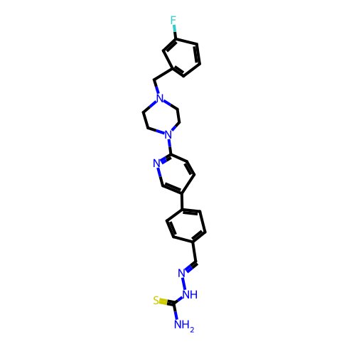 NC(=S)N/N=C/c1ccc(-c2ccc(N3CCN(Cc4cccc(F)c4)CC3)nc2)cc1